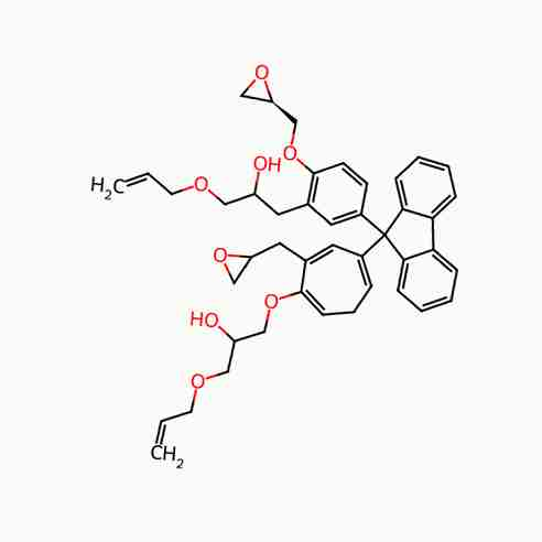 C=CCOCC(O)COC1=CCC=C(C2(c3ccc(OC[C@H]4CO4)c(CC(O)COCC=C)c3)c3ccccc3-c3ccccc32)C=C1CC1CO1